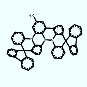 Cc1cc2c3c(c1)N1c4ccccc4C4(c5ccccc5-c5ccccc54)c4cccc(c41)B3N1c3ccccc3C3(c4ccccc4-c4ccccc43)c3cccc-2c31